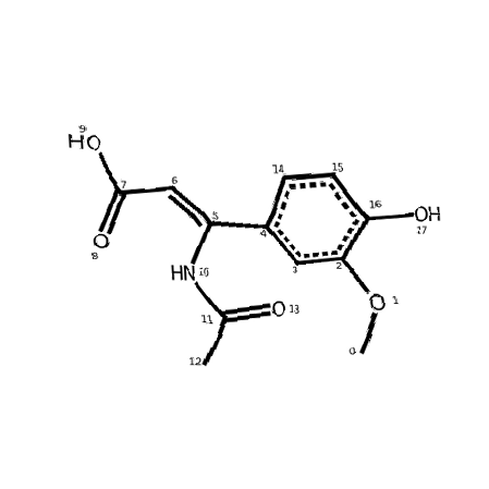 COc1cc(C(=CC(=O)O)NC(C)=O)ccc1O